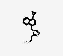 O=C(O)CCc1nncn1Cc1ccc(C2CC2)c2c#cccc12